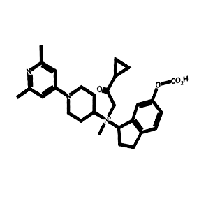 Cc1cc(N2CCC([N+](C)(CC(=O)C3CC3)C3CCc4ccc(OC(=O)O)cc43)CC2)cc(C)n1